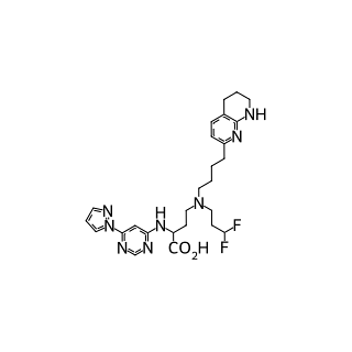 O=C(O)C(CCN(CCCCc1ccc2c(n1)NCCC2)CCC(F)F)Nc1cc(-n2cccn2)ncn1